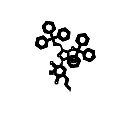 O=c1[nH]c(=O)n([C@@H]2O[C@H](COC(c3ccccc3)(c3ccccc3)c3ccccc3)[C@@H](OC(c3ccccc3)(c3ccccc3)c3ccccc3)[C@H]2O)cc1C=CI